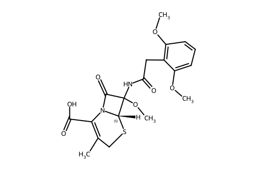 COc1cccc(OC)c1CC(=O)NC1(OC)C(=O)N2C(C(=O)O)=C(C)CS[C@H]21